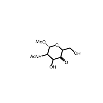 CO[C@@H]1OC(CO)C(=O)C(O)C1NC(C)=O